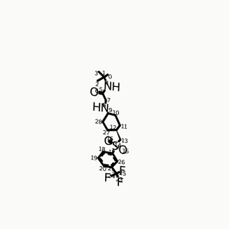 CC(C)(C)NC(=O)CN[C@H]1CC[C@@H](CS(=O)(=O)c2cccc(C(F)(F)F)c2)CC1